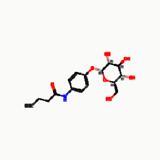 O=CCCC(=O)Nc1ccc(O[C@H]2O[C@H](CO)[C@@H](O)[C@H](O)[C@H]2O)cc1